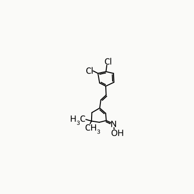 CC1(C)CC(C=Cc2ccc(Cl)c(Cl)c2)=CC(=NO)C1